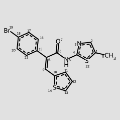 Cc1cnc(NC(=O)C(=Cc2cccs2)c2ccc(Br)cc2)s1